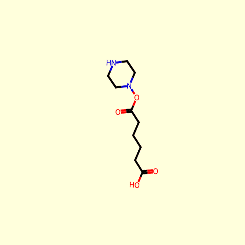 O=C(O)CCCCC(=O)ON1CCNCC1